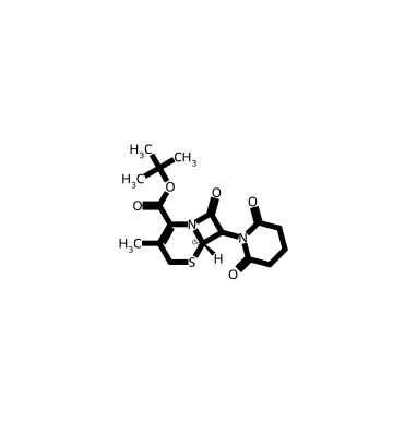 CC1=C(C(=O)OC(C)(C)C)N2C(=O)C(N3C(=O)CCCC3=O)[C@@H]2SC1